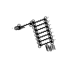 O=C([O-])CCCCCCCCC(=O)[O-].O=C([O-])CCCCCCCCC(=O)[O-].O=C([O-])CCCCCCCCC(=O)[O-].O=C([O-])CCCCCCCCC(=O)[O-].O=C([O-])CCCCCCCCC(=O)[O-].O=C([O-])CCCCCCCCC(=O)[O-].O=C([O-])CCCCCCCCC(=O)[O-].O=C([O-])CCCCCCCCC(=O)[O-].[Cu+2].[Cu+2].[Cu+2].[Cu+2].[Cu+2].[Cu+2].[Cu+2].[Cu+2]